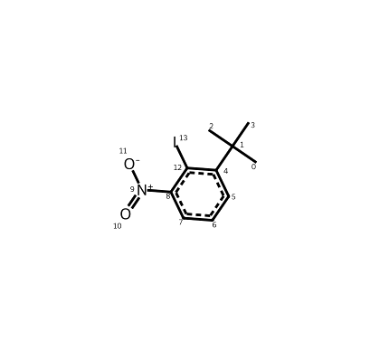 CC(C)(C)c1cccc([N+](=O)[O-])c1I